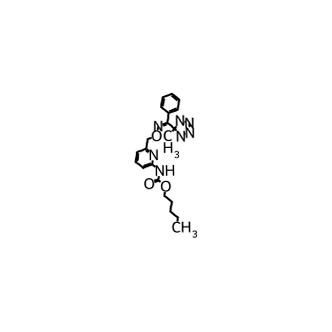 CCCCCOC(=O)Nc1cccc(CO/N=C(/c2ccccc2)C2(C)N=NN=N2)n1